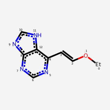 CCOC=Cc1ncnc2nc[nH]c12